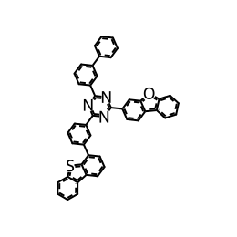 c1ccc(-c2cccc(-c3nc(-c4cccc(-c5cccc6c5sc5ccccc56)c4)nc(-c4ccc5c(c4)oc4ccccc45)n3)c2)cc1